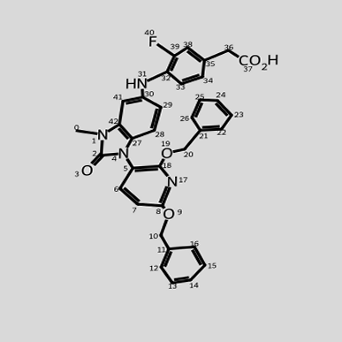 Cn1c(=O)n(-c2ccc(OCc3ccccc3)nc2OCc2ccccc2)c2ccc(Nc3ccc(CC(=O)O)cc3F)cc21